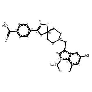 Cc1cc(Cl)cc2c(CN3CCC4(CC3)CC(c3ccc(C(=O)O)cc3)=NO4)cn(C(C)C)c12